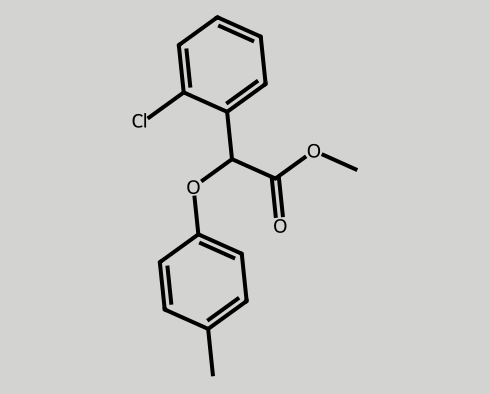 COC(=O)C(Oc1ccc(C)cc1)c1ccccc1Cl